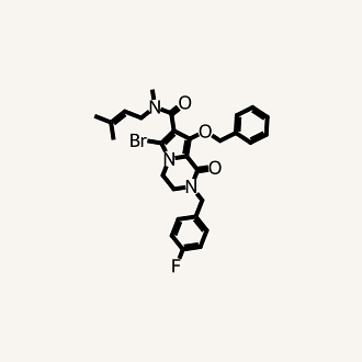 CC(C)=CCN(C)C(=O)c1c(OCc2ccccc2)c2n(c1Br)CCN(Cc1ccc(F)cc1)C2=O